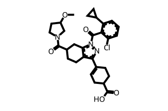 COC1CCN(C(=O)C2CCc3c(C4=CCC(C(=O)O)CC4)nn(C(=O)c4c(Cl)cccc4C4CC4)c3C2)C1